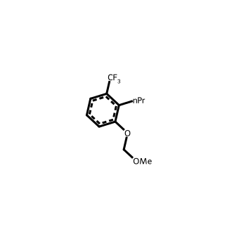 [CH2]CCc1c(OCOC)cccc1C(F)(F)F